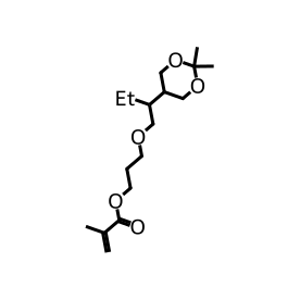 C=C(C)C(=O)OCCCOCC(CC)C1COC(C)(C)OC1